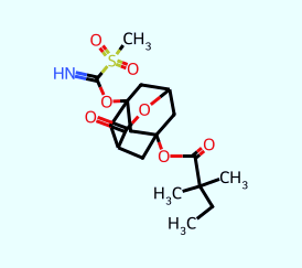 CCC(C)(C)C(=O)OC12CC3CC(OC(=N)S(C)(=O)=O)(CC(C1)C(=O)O3)C2